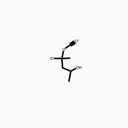 CCC(C)(CC(C)O)OC#[O+]